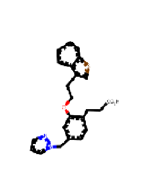 O=C(O)CCc1ccc(Cn2cccn2)cc1OCCc1csc2ccccc12